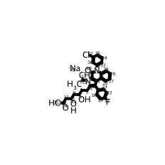 CC(C)n1c(CC[C@@H](O)C[C@@H](O)CC(=O)O)c(-c2ccc(F)cc2)c2c3ccccc3n(-c3cccc(Cl)c3)c(=O)c21.[Na]